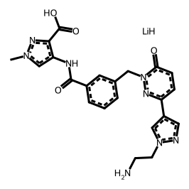 Cn1cc(NC(=O)c2cccc(Cn3nc(-c4cnn(CCN)c4)ccc3=O)c2)c(C(=O)O)n1.[LiH]